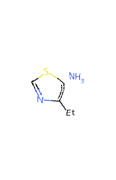 CCc1cscn1.N